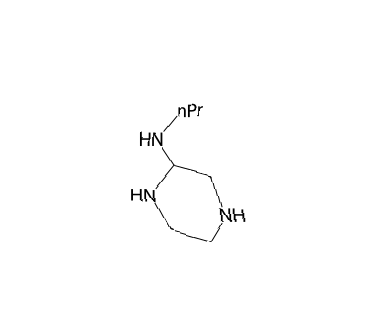 [CH2]CCNC1CNCCN1